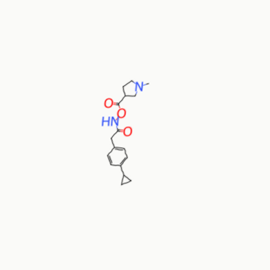 CN1CCC(C(=O)ONC(=O)Cc2ccc(C3CC3)cc2)C1